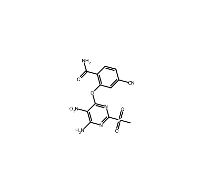 CS(=O)(=O)c1nc(N)c([N+](=O)[O-])c(Oc2cc(C#N)ccc2C(N)=O)n1